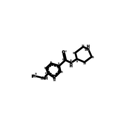 CC(C)Nc1ccc(C(=O)NC2CCNCC2)cn1